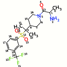 CC(N)C(=O)N1CCC(C(C)(C)S(=O)(=O)c2cccc(C(F)(F)F)c2)CC1